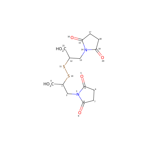 O=C(O)C(CN1C(=O)CCC1=O)SSC(CN1C(=O)CCC1=O)C(=O)O